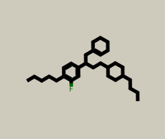 CCCCCc1ccc(C(CCC2CCC(CCCC)CC2)CC2=CCCCC2)cc1F